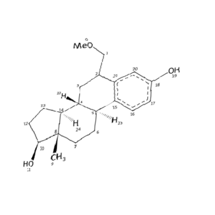 COCC1C[C@@H]2[C@H](CC[C@]3(C)[C@@H](O)CC[C@@H]23)c2ccc(O)cc21